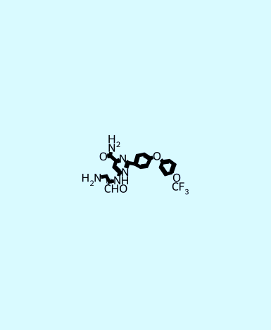 NC[C@@H](C=O)Nc1cc(C(N)=O)nc(-c2ccc(Oc3ccc(OC(F)(F)F)cc3)cc2)n1